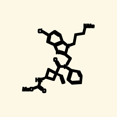 C=C[C@]1(C(=O)N(Cc2nc3cc(Cl)ccc3n2CCCNC)c2ccccc2)C[C@H](NC(=O)OC)C1